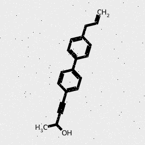 C=CCc1ccc(-c2ccc(C#CC(C)O)cc2)cc1